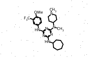 COc1ccc(Nc2nc(NC3CCCCCC3)nc(N(C)C3CCN(C)CC3)n2)cc1C(F)(F)F